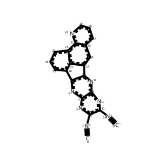 [C-]#[N+]c1nc2nc3c(nc2nc1[N+]#[C-])-c1cc2cccnc2c2cccc-3c12